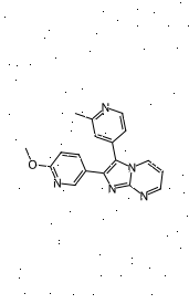 COc1ccc(-c2nc3ncccn3c2-c2ccnc(C)c2)cn1